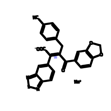 N#Cc1ccc(C/C(C(=O)c2ccc3c(c2)OCO3)=C(\C(=O)[O-])c2ccc3nsnc3c2)cc1.[Na+]